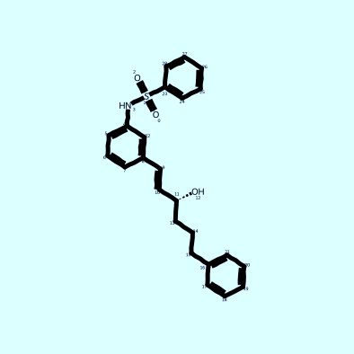 O=S(=O)(Nc1cccc(/C=C/[C@H](O)CCCc2[c]cccc2)c1)c1ccccc1